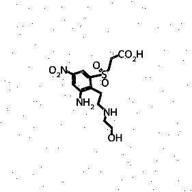 Nc1cc([N+](=O)[O-])cc(S(=O)(=O)CCC(=O)O)c1CCNCCO